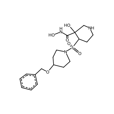 O=C(NO)C1(O)CNCCC1S(=O)(=O)N1CCC(OCc2ccccc2)CC1